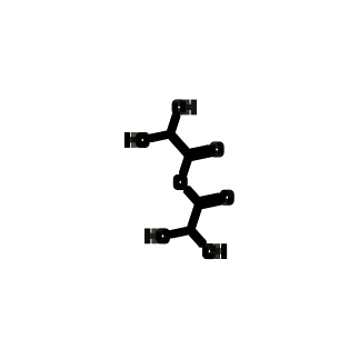 O=C(OC(=O)C(O)O)C(O)O